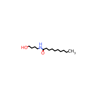 CCCCCCCCCC(=O)NCCCCO